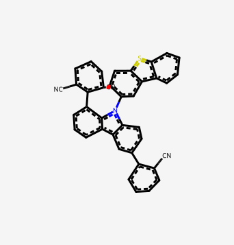 N#Cc1ccccc1-c1ccc2c(c1)c1cccc(-c3c(C#N)cccc3C#N)c1n2-c1ccc2sc3ccccc3c2c1